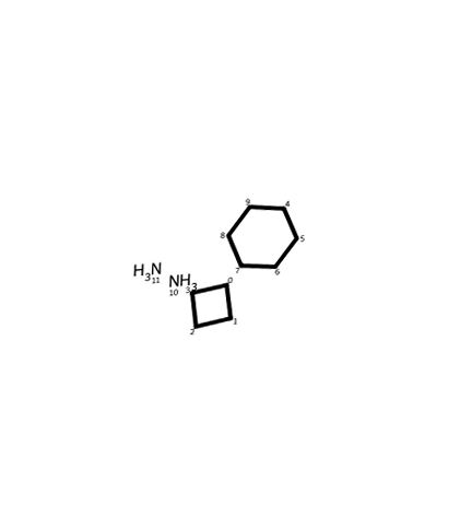 C1CCC1.C1CCCCC1.N.N